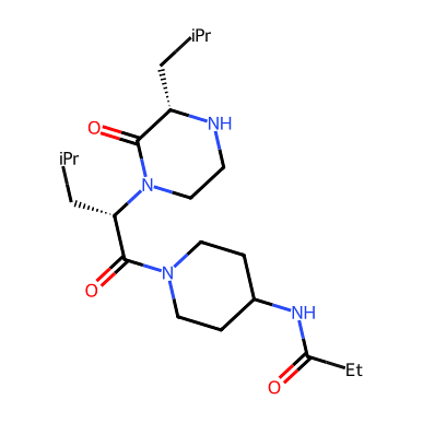 CCC(=O)NC1CCN(C(=O)[C@H](CC(C)C)N2CCN[C@@H](CC(C)C)C2=O)CC1